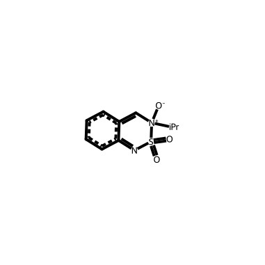 CC(C)[N+]1([O-])C=c2ccccc2=NS1(=O)=O